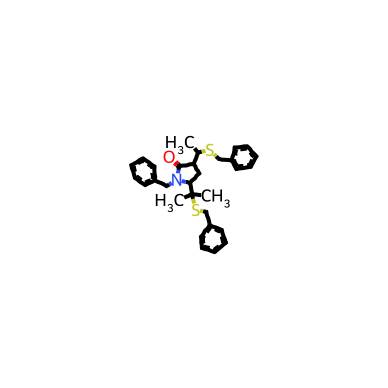 CC(SCc1ccccc1)C1CC(C(C)(C)SCc2ccccc2)N(Cc2ccccc2)C1=O